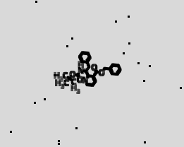 CC(C)(C)OC(=O)N[C@@H](Cc1ccccc1)c1ncccc1C(=O)OCc1ccccc1